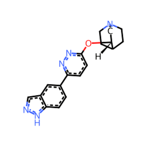 c1cc2[nH]ncc2cc1-c1ccc(O[C@@H]2CN3CCC2CC3)nn1